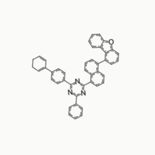 C1=CC(c2ccc(-c3nc(-c4ccccc4)nc(-c4cccc5c(-c6cccc7oc8ccccc8c67)cccc45)n3)cc2)=CCC1